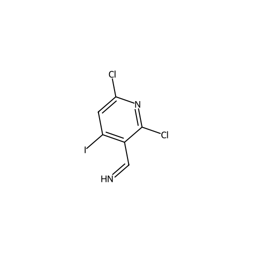 N=Cc1c(I)cc(Cl)nc1Cl